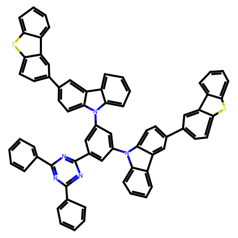 c1ccc(-c2nc(-c3ccccc3)nc(-c3cc(-n4c5ccccc5c5cc(-c6ccc7sc8ccccc8c7c6)ccc54)cc(-n4c5ccccc5c5cc(-c6ccc7sc8ccccc8c7c6)ccc54)c3)n2)cc1